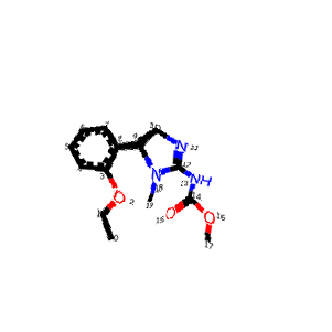 CCOc1ccccc1C1CN=C(NC(=O)OC)N1C